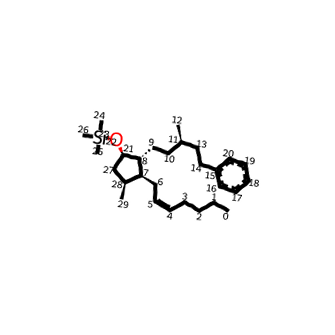 CCCC/C=C\C[C@@H]1[C@@H](CC[C@@H](C)CCc2ccccc2)[C@H](O[Si](C)(C)C)C[C@@H]1C